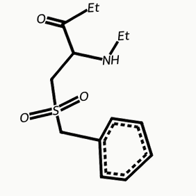 CCNC(CS(=O)(=O)Cc1ccccc1)C(=O)CC